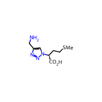 CSCC[C@@H](C(=O)O)n1cc(CN)nn1